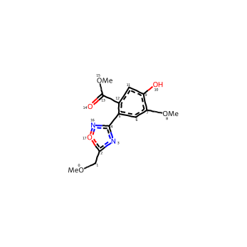 COCc1nc(-c2cc(OC)c(O)cc2C(=O)OC)no1